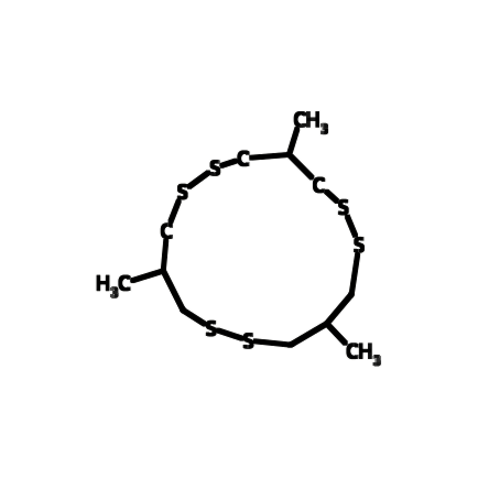 CC1CSSCC(C)CSSCC(C)CSSC1